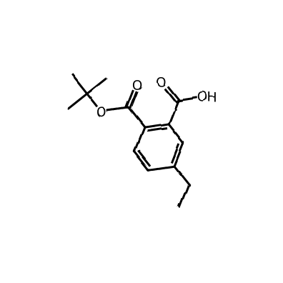 CCc1ccc(C(=O)OC(C)(C)C)c(C(=O)O)c1